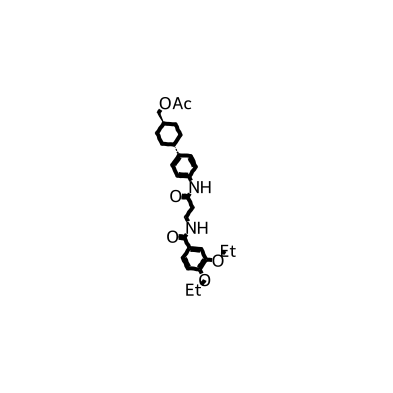 CCOc1ccc(C(=O)NCCC(=O)Nc2ccc([C@H]3CC[C@H](COC(C)=O)CC3)cc2)cc1OCC